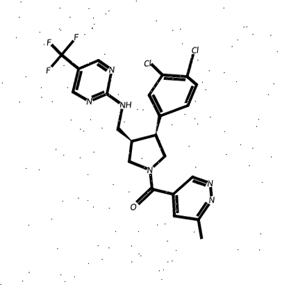 Cc1cc(C(=O)N2C[C@@H](CNc3ncc(C(F)(F)F)cn3)[C@@H](c3ccc(Cl)c(Cl)c3)C2)cnn1